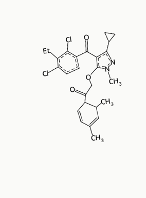 CCc1c(Cl)ccc(C(=O)c2c(C3CC3)nn(C)c2OCC(=O)C2C=CC(C)=CC2C)c1Cl